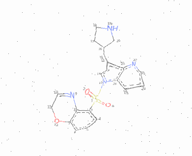 O=S(=O)(c1cccc2c1N=CCO2)n1cc(C2CCNC2)c2ncccc21